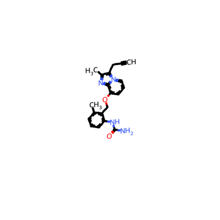 C#CCc1c(C)nc2c(OCc3c(C)cccc3NC(N)=O)cccn12